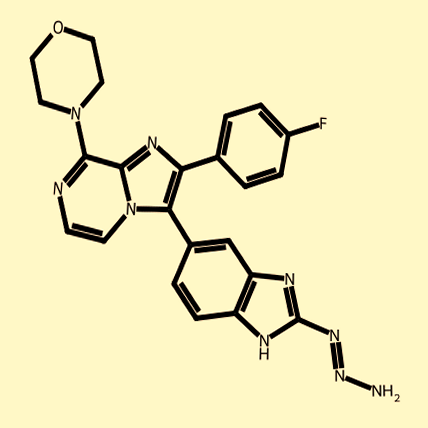 NN=Nc1nc2cc(-c3c(-c4ccc(F)cc4)nc4c(N5CCOCC5)nccn34)ccc2[nH]1